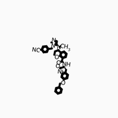 CN(c1cncn1Cc1ccc(C#N)cc1)C1CCOc2c(C(=O)N[C@@H](Cc3ccc(OCc4ccccc4)cc3)C(N)=O)cccc21